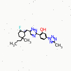 CCC[C@]1(C)CC[C@@H](F)/C(=C/c2cnc(-c3ccc(-n4nnc(C)n4)cc3O)nn2)C1